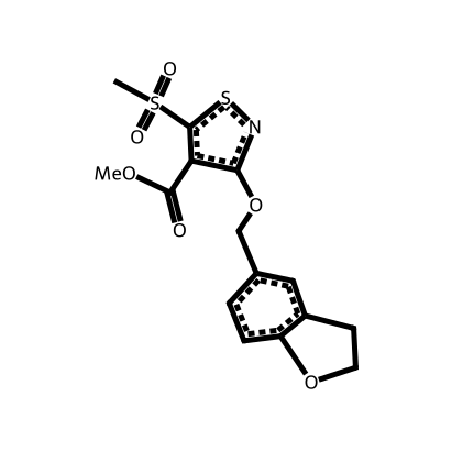 COC(=O)c1c(OCc2ccc3c(c2)CCO3)nsc1S(C)(=O)=O